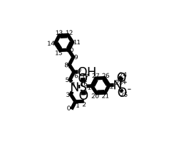 CC(C)CN(CC(O)[CH]Cc1ccccc1)S(=O)(=O)c1ccc([N+](=O)[O-])cc1